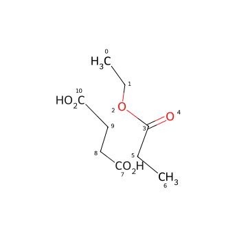 CCOC(=O)CC.O=C(O)CCC(=O)O